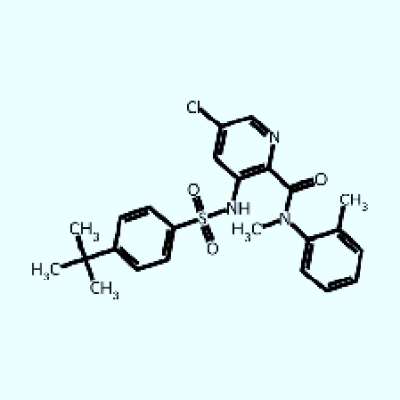 Cc1ccccc1N(C)C(=O)c1ncc(Cl)cc1NS(=O)(=O)c1ccc(C(C)(C)C)cc1